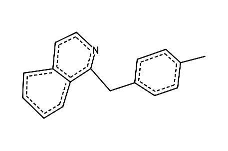 Cc1ccc(Cc2nccc3ccccc23)cc1